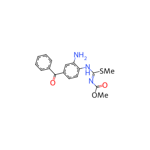 COC(=O)N=C(Nc1ccc(C(=O)c2ccccc2)cc1N)SC